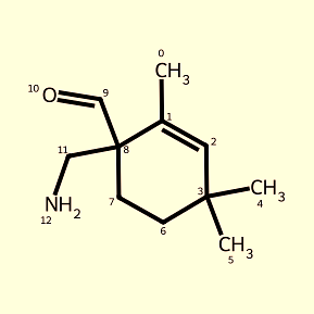 CC1=CC(C)(C)CCC1(C=O)CN